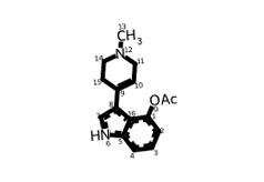 CC(=O)Oc1cccc2[nH]cc(C3=CCN(C)CC3)c12